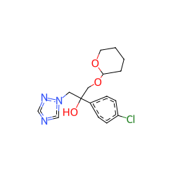 OC(COC1CCCCO1)(Cn1cncn1)c1ccc(Cl)cc1